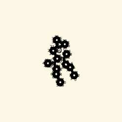 c1ccc(-c2ccc3cc(N(c4ccccc4)c4cc(-c5cccc6c5oc5c7ccccc7c7ccccc7c65)cc(N(c5ccccc5)c5ccc6cc(-c7ccccc7)ccc6c5)c4)ccc3c2)cc1